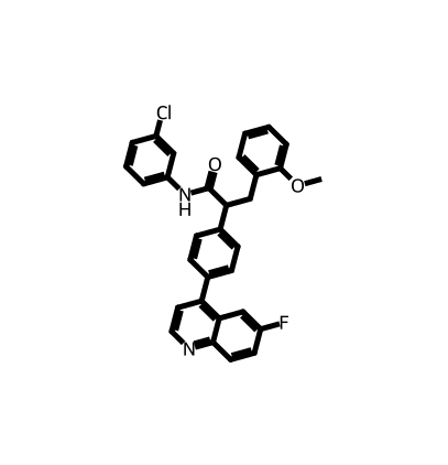 COc1ccccc1CC(C(=O)Nc1cccc(Cl)c1)c1ccc(-c2ccnc3ccc(F)cc23)cc1